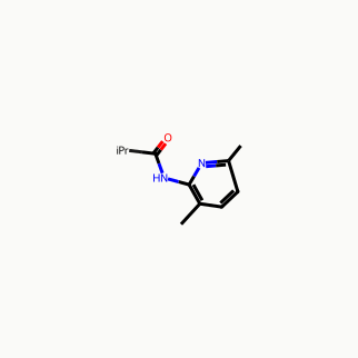 Cc1ccc(C)c(NC(=O)C(C)C)n1